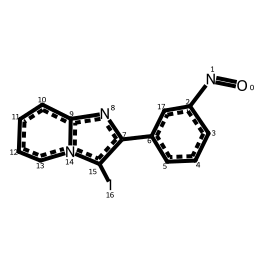 O=Nc1cccc(-c2nc3ccccn3c2I)c1